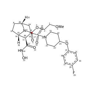 COCCOC(=O)N1[C@@H]2CC[C@H]1[C@H](C(=O)NO)N(S(=O)(=O)N1CCC(Oc3ccc(F)cc3)CC1)C2